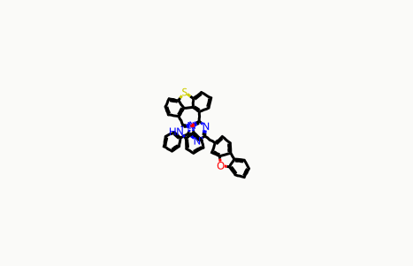 c1ccc(-c2nc(-c3ccc4c(c3)oc3ccccc34)nc(-c3cccc4sc5cccc(-c6nc7ccccc7[nH]6)c5c34)n2)cc1